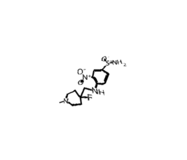 CN1CCC(F)(CNc2ccc([S+](N)[O-])cc2[N+](=O)[O-])CC1